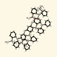 CC(C)c1ccccc1N(c1cc2c3c(c1)N(c1ccccc1)c1ccccc1B3c1cc3c(cc1O2)Oc1cc(N(c2ccccc2C(C)C)c2ccccc2C(C)C)cc2c1B3c1ccccc1N2c1ccccc1)c1ccccc1C(C)C